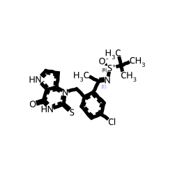 C/C(=N\[S@@+]([O-])C(C)(C)C)c1cc(Cl)ccc1Cn1c(=S)[nH]c(=O)c2[nH]ccc21